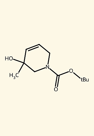 CC1(O)C=CCN(C(=O)OC(C)(C)C)C1